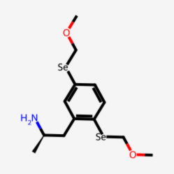 COC[Se]c1ccc([Se]COC)c(C[C@@H](C)N)c1